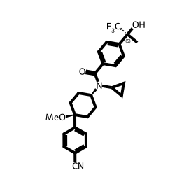 CO[C@]1(c2ccc(C#N)cc2)CC[C@H](N(C(=O)c2ccc([C@](C)(O)C(F)(F)F)cc2)C2CC2)CC1